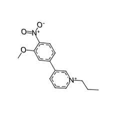 CCC[n+]1cccc(-c2ccc([N+](=O)[O-])c(OC)c2)c1